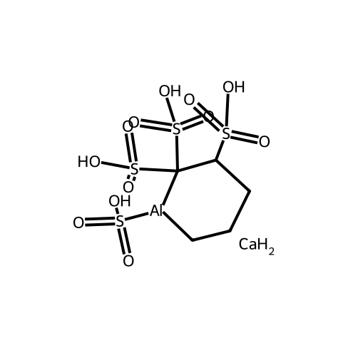 O=S(=O)(O)C1CC[CH2][Al]([S](=O)(=O)O)[C]1(S(=O)(=O)O)S(=O)(=O)O.[CaH2]